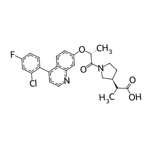 CC(C(=O)O)[C@@H]1CCN(C(=O)[C@@H](C)Oc2ccc3c(-c4ccc(F)cc4Cl)ccnc3c2)C1